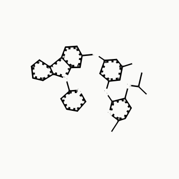 Cc1cc(Nc2nc(C)ccc2NC(C)C)cc(Oc2ccc3c4ccccc4n(-c4ccccn4)c3c2)c1